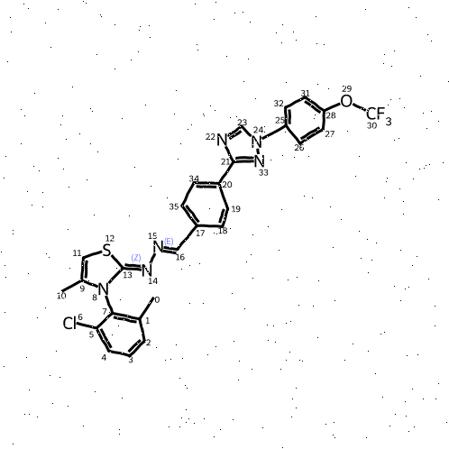 Cc1cccc(Cl)c1-n1c(C)cs/c1=N\N=C\c1ccc(-c2ncn(-c3ccc(OC(F)(F)F)cc3)n2)cc1